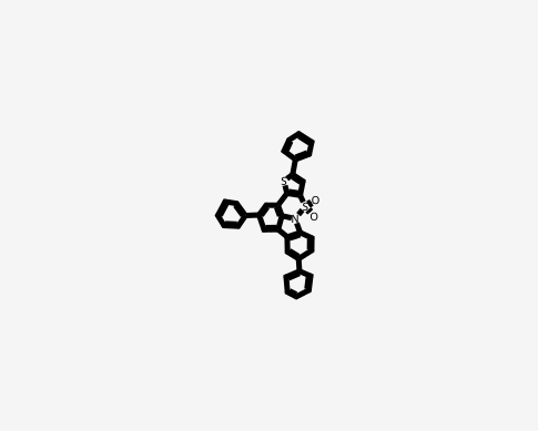 O=S1(=O)c2cc(-c3ccccc3)sc2-c2cc(-c3ccccc3)cc3c4cc(-c5ccccc5)ccc4n1c23